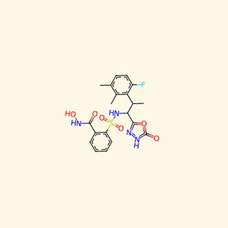 Cc1ccc(F)c(C(C)C(NS(=O)(=O)c2ccccc2C(=O)NO)c2n[nH]c(=O)o2)c1C